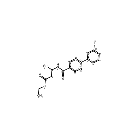 CCOC(=O)CC(C)NC(=O)c1ccc(-c2cccc(F)c2)nc1